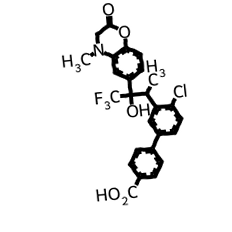 CC(c1cc(-c2ccc(C(=O)O)cc2)ccc1Cl)C(O)(c1ccc2c(c1)N(C)CC(=O)O2)C(F)(F)F